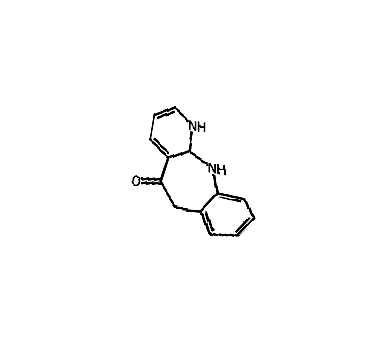 O=C1Cc2ccccc2NC2NC=CC=C12